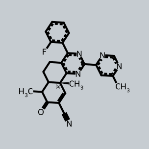 Cc1cc(-c2nc(-c3ccccc3F)c3c(n2)[C@]2(C)C=C(C#N)C(=O)C(C)C2CC3)ncn1